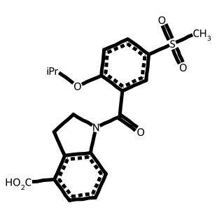 CC(C)Oc1ccc(S(C)(=O)=O)cc1C(=O)N1CCc2c(C(=O)O)cccc21